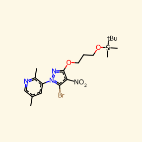 Cc1cnc(C)c(-n2nc(OCCCO[Si](C)(C)C(C)(C)C)c([N+](=O)[O-])c2Br)c1